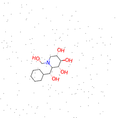 OCN1C[C@H](O)[C@@H](O)[C@H](O)C1[C@H](O)C1CCCCC1